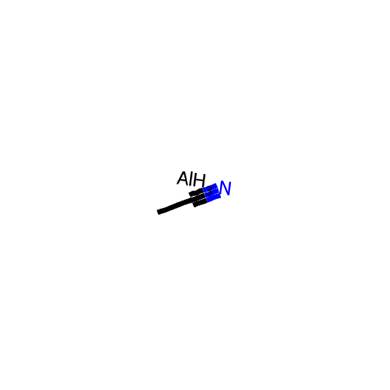 CC#N.[AlH3]